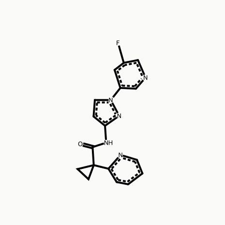 O=C(Nc1ccn(-c2cncc(F)c2)n1)C1(c2ccccn2)CC1